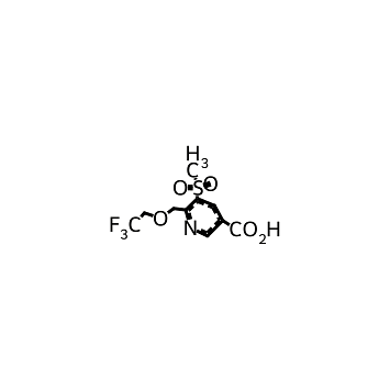 CS(=O)(=O)c1cc(C(=O)O)cnc1COCC(F)(F)F